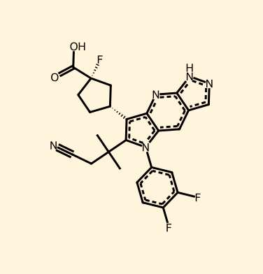 CC(C)(CC#N)c1c([C@@H]2CC[C@@](F)(C(=O)O)C2)c2nc3[nH]ncc3cc2n1-c1ccc(F)c(F)c1